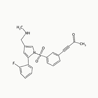 CNCc1cc(-c2ccccc2F)n(S(=O)(=O)c2cccc(C#CC(C)=O)c2)c1